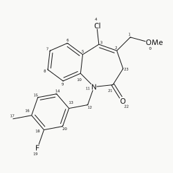 COCC1=C(Cl)c2ccccc2N(Cc2ccc(C)c(F)c2)C(=O)C1